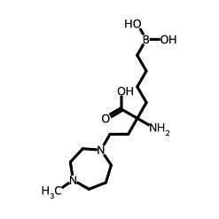 CN1CCCN(CCC(N)(CCCCB(O)O)C(=O)O)CC1